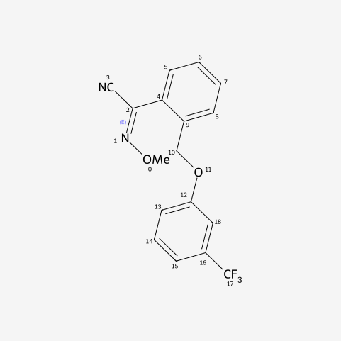 CO/N=C(/C#N)c1ccccc1COc1cccc(C(F)(F)F)c1